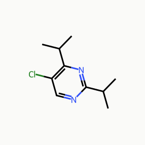 CC(C)c1ncc(Cl)c(C(C)C)n1